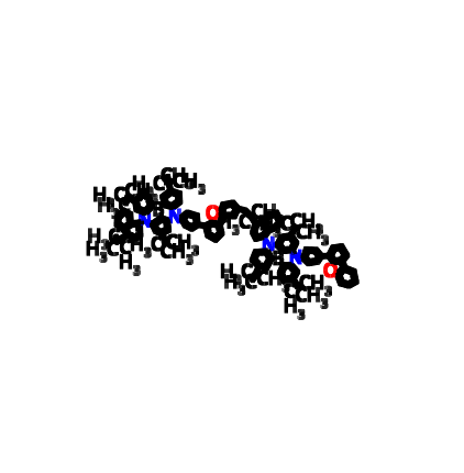 CC(C)(C)c1ccc2c(c1)B1c3ccc(C(C)(C)C)cc3N(c3ccc(C(C)(C)C)c4ccccc34)c3cc(C(C)(C)C)cc(c31)N2c1ccc(-c2cccc3c2oc2ccc(CC(C)(C)c4ccc(N5c6ccc(C(C)(C)C)cc6B6c7ccc(C(C)(C)C)cc7N(c7ccc(-c8cccc9c8oc8ccccc89)cc7)c7cc(C(C)(C)C)cc5c76)c5ccccc45)cc23)cc1